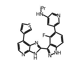 CC(C)Nc1cncc(-c2ccc3[nH]nc(-c4nc5c(-c6ccsc6)ccnc5[nH]4)c3c2F)c1